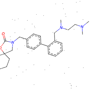 CN(C)CCN(C)Cc1ccccc1-c1ccc(CN2CC3(CCCCC3)OC2=O)cc1